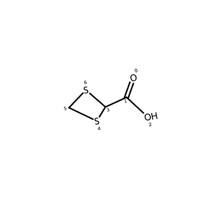 O=C(O)C1SCS1